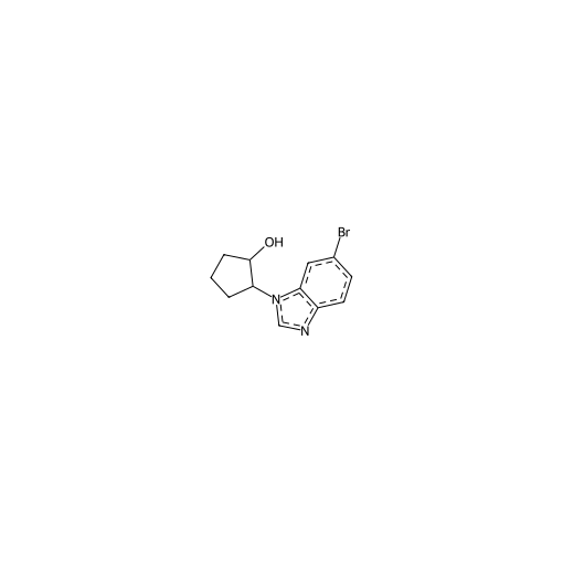 OC1CCCC1n1cnc2ccc(Br)cc21